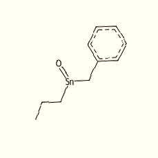 CC[CH2][Sn](=[O])[CH2]c1ccccc1